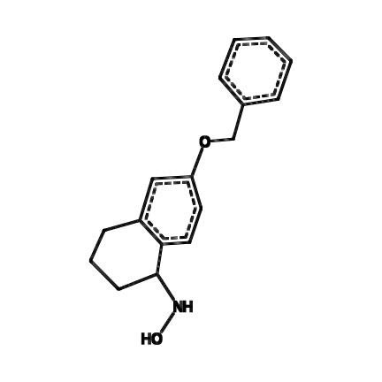 ONC1CCCc2cc(OCc3ccccc3)ccc21